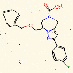 O=C(O)N1Cc2cc(-c3ccc(F)cc3)nn2C(COCc2ccccc2)C1